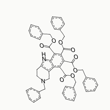 O=C(OCc1ccccc1)c1c(C(=O)OCc2ccccc2)c(C(=O)OCc2ccccc2)c2c3c([nH]c2c1C(=O)OCc1ccccc1)CCN(Cc1ccccc1)C3